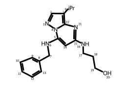 CC(C)c1cnn2c(NCc3ccccc3)cc(NCCCO)nc12